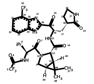 CC(C)[C@H](NC(=O)C(F)(F)F)C(=O)N1C[C@H]2[C@@H]([C@H]1C(=O)N[C@@H](C[C@@H]1CCNC1=O)C(=O)c1nc3c(C(F)(F)F)cccc3s1)C2(C)C